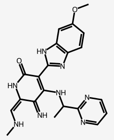 CN/C=C1/NC(=O)C(c2nc3ccc(OC)cc3[nH]2)=C(NC(C)c2ncccn2)C1=N